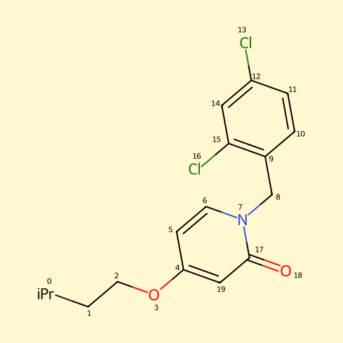 CC(C)CCOc1ccn(Cc2ccc(Cl)cc2Cl)c(=O)c1